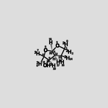 [2H]C1([2H])O[C@@H]2OC([2H])([2H])[C@]([2H])(O)[C@@H]2C1([2H])[2H]